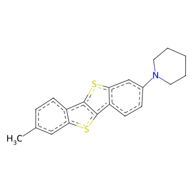 Cc1ccc2c(c1)sc1c3ccc(N4CCCCC4)cc3sc21